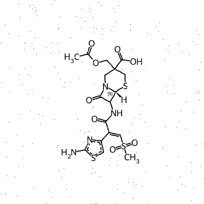 CC(=O)OCC1(C(=O)O)CS[C@@H]2C(NC(=O)C(=CS(C)(=O)=O)c3csc(N)n3)C(=O)N2C1